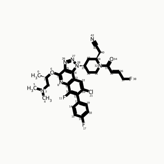 C[C@@H](CN(C)C)Oc1nc2c(F)c(-c3ccc(F)cc3)c(Cl)cc2c2c1nnn2[C@H]1CCN(C(=O)/C=C/CF)[C@H](CC#N)C1